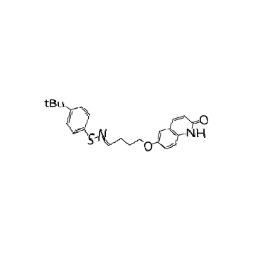 CC(C)(C)c1ccc(SN=CCCCOc2ccc3[nH]c(=O)ccc3c2)cc1